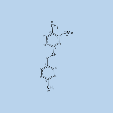 COc1cc(OCc2ccc(C)cc2)ccc1C